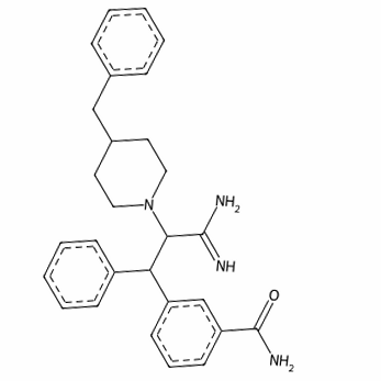 N=C(N)C(C(c1ccccc1)c1cccc(C(N)=O)c1)N1CCC(Cc2ccccc2)CC1